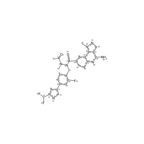 CC(=O)N(C)N(Cc1ccc(-c2cnn(C(F)F)c2)cc1F)C(=O)c1ccc2nc(N)c3cnn(C)c3c2c1